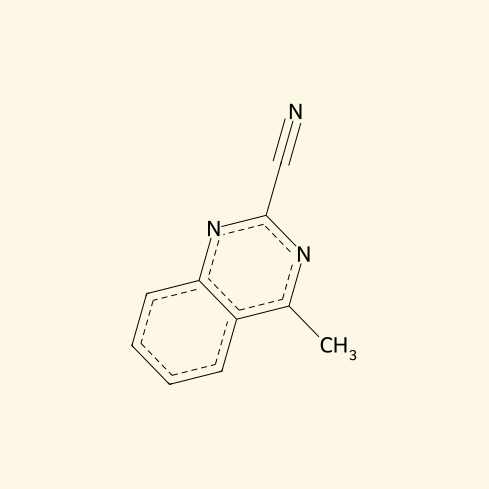 Cc1nc(C#N)nc2ccccc12